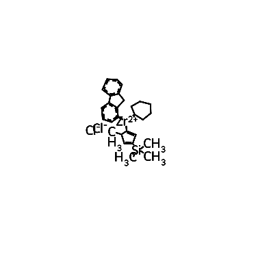 CC1C=C([Si](C)(C)C)C=[C]1[Zr+2](=[C]1CCCCC1)[c]1cccc2c1Cc1ccccc1-2.[Cl-].[Cl-]